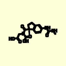 CNC(=O)Nc1ccc2c(c1)CC[C@]2(I)C(=O)N(CC(=O)O)C(=O)O